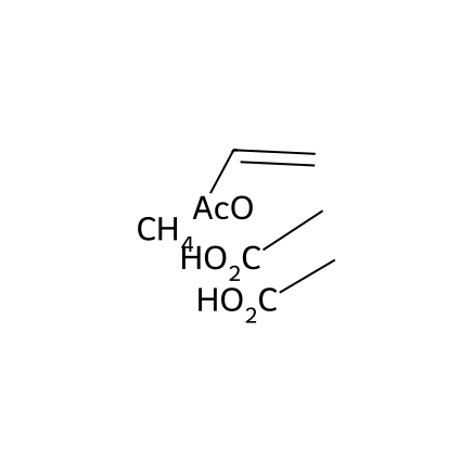 C.C=COC(C)=O.CC(=O)O.CC(=O)O